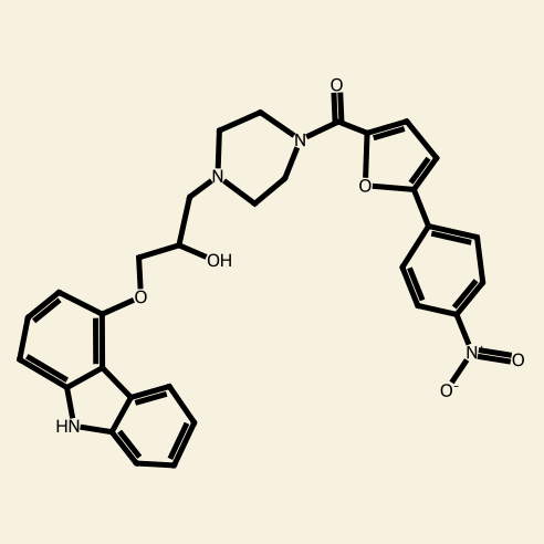 O=C(c1ccc(-c2ccc([N+](=O)[O-])cc2)o1)N1CCN(CC(O)COc2cccc3[nH]c4ccccc4c23)CC1